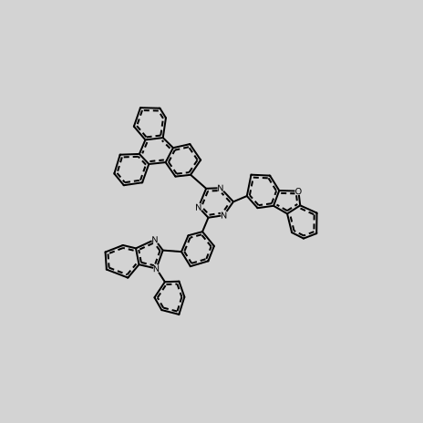 c1ccc(-n2c(-c3cccc(-c4nc(-c5ccc6oc7ccccc7c6c5)nc(-c5ccc6c7ccccc7c7ccccc7c6c5)n4)c3)nc3ccccc32)cc1